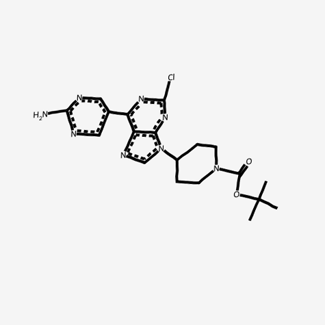 CC(C)(C)OC(=O)N1CCC(n2cnc3c(-c4cnc(N)nc4)nc(Cl)nc32)CC1